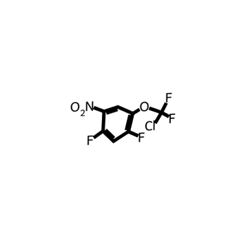 O=[N+]([O-])c1cc(OC(F)(F)Cl)c(F)cc1F